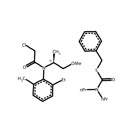 CCCN(CCC)C(=O)SCc1ccccc1.CCc1cccc(C)c1N(C(=O)CCl)[C@@H](C)COC